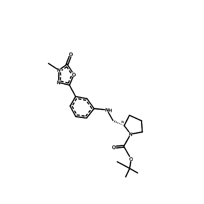 Cn1nc(-c2cccc(NC[C@@H]3CCCN3C(=O)OC(C)(C)C)c2)oc1=O